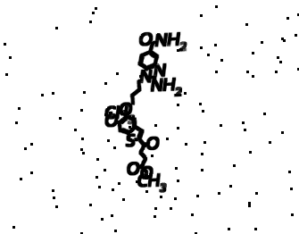 COC(=O)CCC(=O)c1cc2cc(OCCCCn3c(N)nc4cc(C(N)=O)ccc43)c(OC)cc2s1